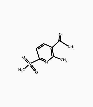 Cc1nc(S(C)(=O)=O)ccc1C(N)=O